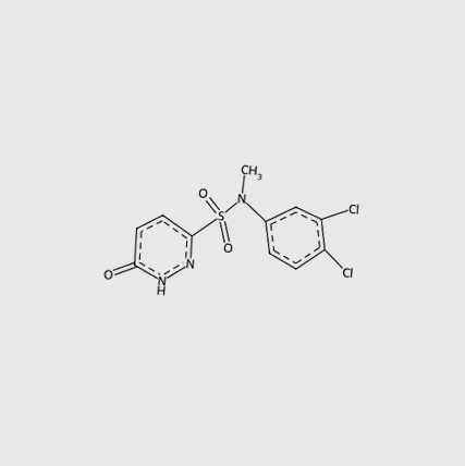 CN(c1ccc(Cl)c(Cl)c1)S(=O)(=O)c1ccc(=O)[nH]n1